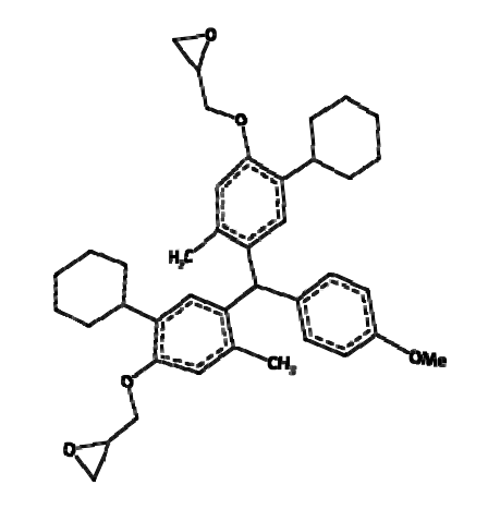 COc1ccc(C(c2cc(C3CCCCC3)c(OCC3CO3)cc2C)c2cc(C3CCCCC3)c(OCC3CO3)cc2C)cc1